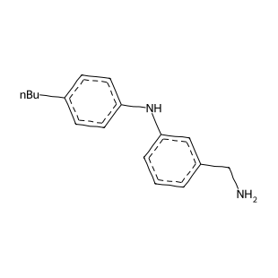 CCCCc1ccc(Nc2cccc(CN)c2)cc1